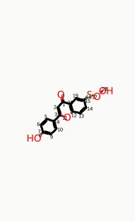 O=c1cc(-c2ccc(O)cc2)oc2ccc(SOO)cc12